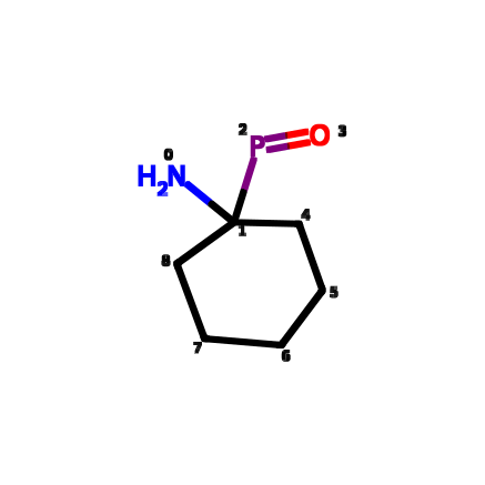 NC1(P=O)CCCCC1